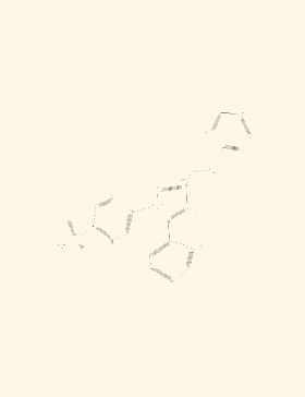 NS(=O)(=O)c1ccc(-n2nc(CNc3ccccc3)cc2-c2ccccc2)cc1